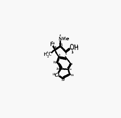 CNC(CO)C(C)(F)c1ccc2ccoc2c1